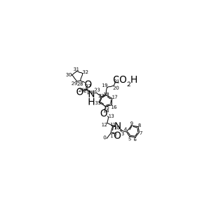 Cc1oc(-c2ccccc2)nc1CCOc1ccc(CCC(=O)O)c(CNC(=O)OC2CCCC2)c1